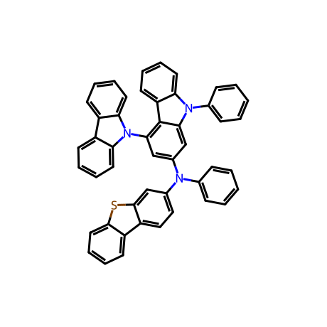 c1ccc(N(c2ccc3c(c2)sc2ccccc23)c2cc(-n3c4ccccc4c4ccccc43)c3c4ccccc4n(-c4ccccc4)c3c2)cc1